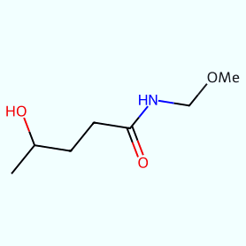 COCNC(=O)CCC(C)O